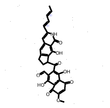 C/C=C/C=C/c1cc2cc3c(c(O)c2c(=O)[nH]1)C(C(=O)c1c(O)c2c(c(O)c1C=O)C(=O)C(OC)=CC2=O)CC3